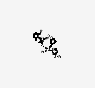 Cc1cccc(CC(C)C)c1-c1nc2nc(c1C)OC[C@@H](CC(C)C)N(Cc1nccc(N(C)C(C)C)n1)C(=O)c1cccc(c1)S(=O)(=O)N2